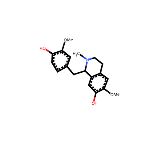 COc1cc(CC2c3cc(O)c(OC)cc3CCN2C)ccc1O